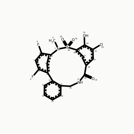 CN1c2cc(c(F)cc2F)-c2ccccc2CNC(=O)c2cc(Cl)c(O)c(c2)S1(=O)=O